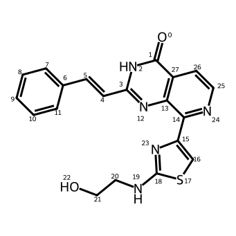 O=c1[nH]c(/C=C/c2ccccc2)nc2c(-c3csc(NCCO)n3)nccc12